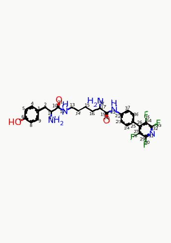 NC(Cc1ccc(O)cc1)C(=O)NCCCCC(N)C(=O)Nc1ccc(-c2c(F)c(F)nc(F)c2F)cc1